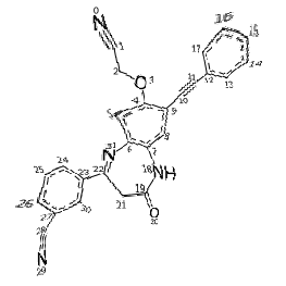 N#CCOc1cc2c(cc1C#Cc1ccccc1)NC(=O)CC(c1cccc(C#N)c1)=N2